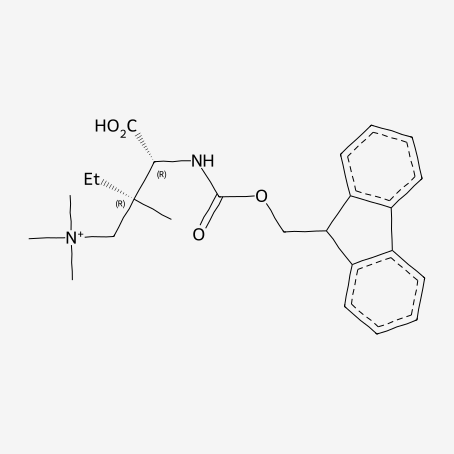 CC[C@](C)(C[N+](C)(C)C)[C@@H](NC(=O)OCC1c2ccccc2-c2ccccc21)C(=O)O